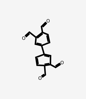 O=Cc1ccc(-c2ccc(C=O)c(C=O)c2)cc1C=O